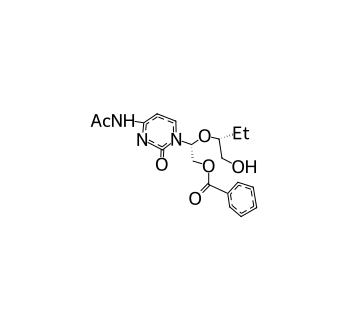 CC[C@H](CO)O[C@H](COC(=O)c1ccccc1)n1ccc(NC(C)=O)nc1=O